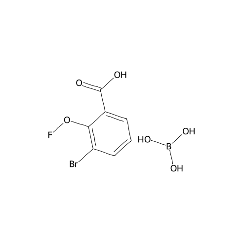 O=C(O)c1cccc(Br)c1OF.OB(O)O